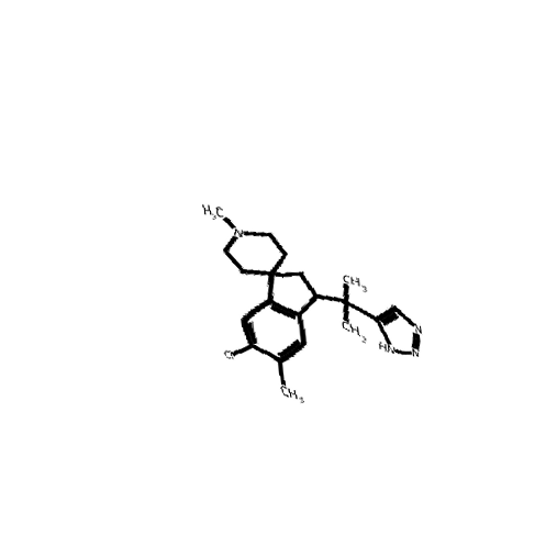 Cc1cc2c(cc1Cl)C1(CCN(C)CC1)CC2C(C)(C)c1cnn[nH]1